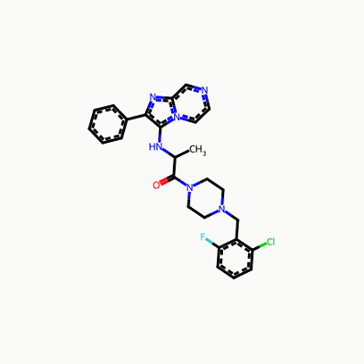 CC(Nc1c(-c2ccccc2)nc2cnccn12)C(=O)N1CCN(Cc2c(F)cccc2Cl)CC1